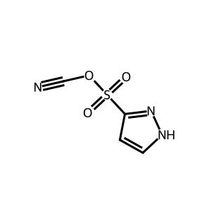 N#COS(=O)(=O)c1cc[nH]n1